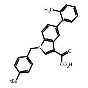 Cc1ccccc1-c1ccc2c(c1)c(C(=O)C(=O)O)cn2Cc1ccc(C(C)(C)C)cc1